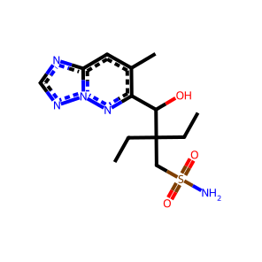 CCC(CC)(CS(N)(=O)=O)C(O)c1nn2ncnc2cc1C